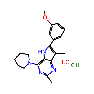 COc1cccc(-c2[nH]c3c(N4CCCCC4)nc(C)nc3c2C)c1.Cl.O